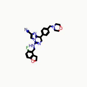 N#Cc1cn2c(n1)C(c1ccc(CN3CCOCC3)cc1)CN=C2NCc1c(F)ccc2c1CCO2